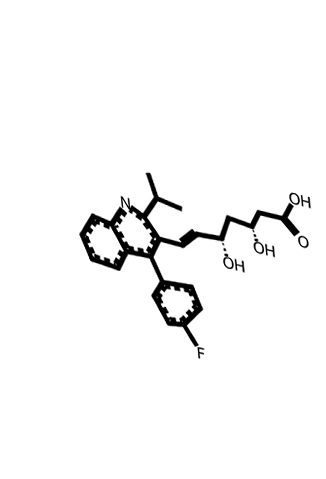 CC(C)c1nc2ccccc2c(-c2ccc(F)cc2)c1/C=C/[C@@H](O)C[C@@H](O)CC(=O)O